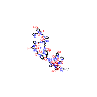 NCCCC[C@H](NC(=O)[C@@H]1CCCN1C(=O)CNC(=O)[C@@H]1C[C@@H](O)CN1C(=O)[C@@H]1CCCN1)C(=O)NCC(=O)N1CCC[C@H]1C(=O)N1C[C@H](O)C[C@H]1C(=O)NCC(=O)N1CCC[C@H]1C(=O)N1C[C@H](O)C[C@H]1C(=O)NCC(=O)N1CCC[C@H]1C(=O)N1C[C@H](O)C[C@H]1C(=O)NCC(=O)N1CCC[C@H]1C(=O)N1C[C@H](O)C[C@H]1C(=O)NCC(=O)N1CCC[C@H]1C(=O)N1C[C@H](O)C[C@H]1C(=O)NCC(=O)O